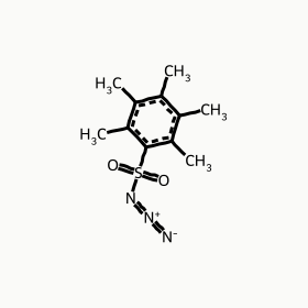 Cc1c(C)c(C)c(S(=O)(=O)N=[N+]=[N-])c(C)c1C